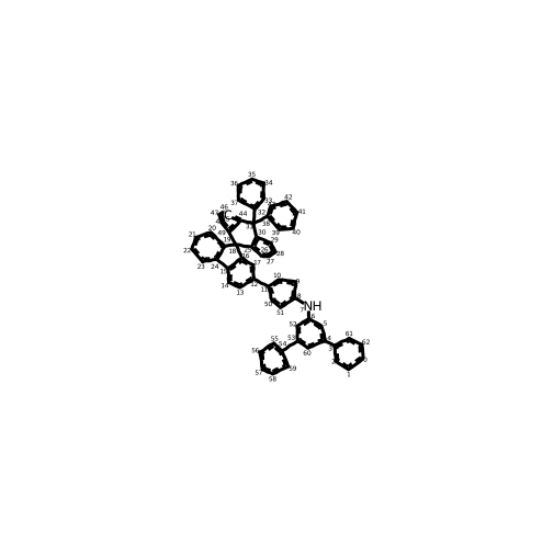 c1ccc(-c2cc(Nc3ccc(-c4ccc5c(c4)C4(c6ccccc6-5)c5ccccc5C(c5ccccc5)(c5ccccc5)c5ccccc54)cc3)cc(-c3ccccc3)c2)cc1